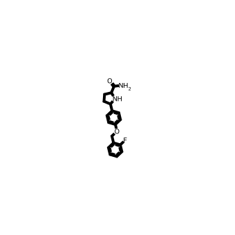 NC(=O)C1CCC(c2ccc(OCc3ccccc3F)cc2)N1